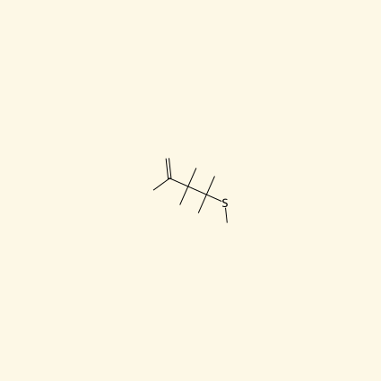 C=C(C)C(C)(C)C(C)(C)SC